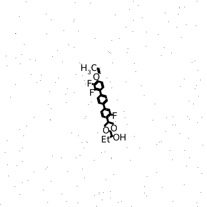 C/C=C\Oc1ccc(-c2ccc(-c3ccc(C4COC(C(O)CC)OC4)c(F)c3)cc2)c(F)c1F